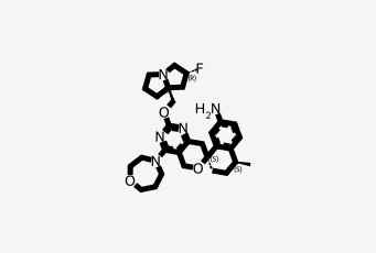 C[C@H]1CC[C@]2(Cc3nc(OC[C@@]45CCCN4C[C@H](F)C5)nc(N4CCCOCC4)c3CO2)c2cc(N)ccc21